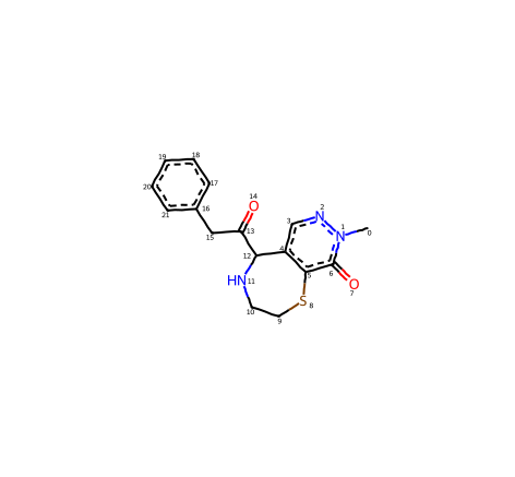 Cn1ncc2c(c1=O)SCCNC2C(=O)Cc1ccccc1